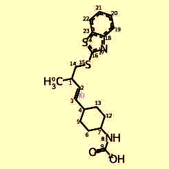 CC(/C=C/C1CCC(NC(=O)O)CC1)CSc1nc2ccccc2s1